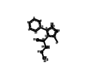 Cc1n[nH]c(-c2ccccc2)c1C(=O)NOC(F)(F)F